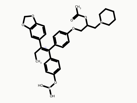 CC/C(=C(/c1ccc(OCC(CN2CCCCC2)OC(C)=O)cc1)c1ccc(OP(O)O)cc1)c1ccc2c(c1)OCO2